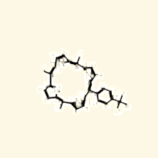 Cc1c2nc(c(C)c3ccc([nH]3)c(-c3ccc(C(C)(C)C)cc3)c3nc(c(C)c4ccc1[nH]4)C=C3)C=C2